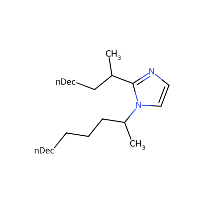 CCCCCCCCCCCCCC(C)n1ccnc1C(C)CCCCCCCCCCC